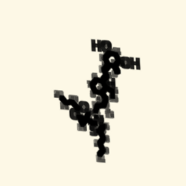 C=C1/C(=C\C=C2/CCC[C@]3(C)[C@@H]([C@H](C)CC[C@@H](OC(=O)CCC)C4(c5ncc(CCCC)s5)CC4)CC[C@@H]23)C[C@@H](O)C[C@@H]1O